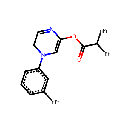 CCCc1cccc(N2C=C(OC(=O)C(CC)CCC)N=CC2)c1